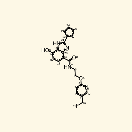 O=C(NCCOc1ccc(CF)cn1)c1ccc(O)c2[nH]c(-c3cccs3)nc12